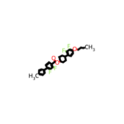 CCCCOc1ccc(C2CCC(OC(=O)c3ccc(-c4ccc(C)cc4)c(F)c3F)CC2)c(F)c1F